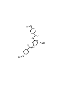 COc1ccc(C(=O)Nc2cc(OC)nc(NC(=O)c3ccc(OC)cc3)n2)cc1